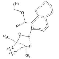 CCOC(=O)c1c(B2OC(C)(C)C(C)(C)O2)ccc2ccccc12